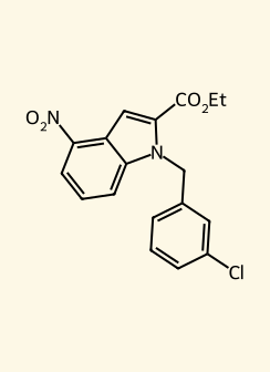 CCOC(=O)c1cc2c([N+](=O)[O-])cccc2n1Cc1cccc(Cl)c1